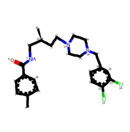 Cc1ccc(C(=O)NC[C@@H](C)CCN2CCN(Cc3ccc(Cl)c(Cl)c3)CC2)cc1